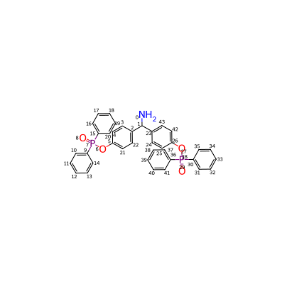 NC(c1ccc(OP(=O)(c2ccccc2)c2ccccc2)cc1)c1ccc(OP(=O)(c2ccccc2)c2ccccc2)cc1